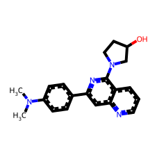 CN(C)c1ccc(-c2cc3ncccc3c(N3CCC(O)C3)n2)cc1